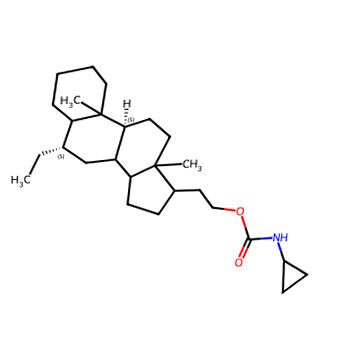 CC[C@H]1CC2C3CCC(CCOC(=O)NC4CC4)C3(C)CC[C@@H]2C2(C)CCCCC12